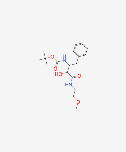 COCCNC(=O)C(O)C(Cc1ccccc1)NC(=O)OC(C)(C)C